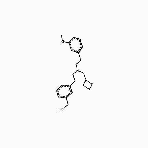 COc1cccc(CCN(CCc2cccc(CO)c2)CC2CCC2)c1